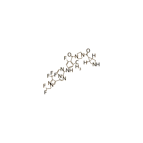 Cc1cc(Nc2nccn3c(-c4cn(CC(F)F)nc4C(F)(F)F)cnc23)cc(F)c1C(=O)N1CCN(C(=O)[C@H]2[C@@H]3CNC[C@@H]32)CC1